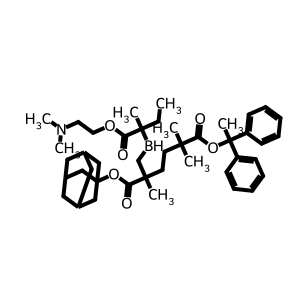 CCC(C)(BCC(C)(CCC(C)(C)C(=O)OC(C)(c1ccccc1)c1ccccc1)C(=O)OC12CC3CC(CC(C3)C1)C2)C(=O)OCCN(C)C